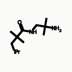 CC(C)CC(C)(C)C(=O)NCC(C)(C)N